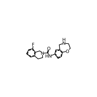 O=C(Nc1ccc2c(c1)CNCCO2)N1CCc2cccc(F)c2C1